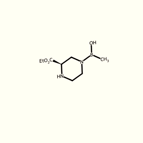 CCOC(=O)[C@H]1CN(B(C)O)CCN1